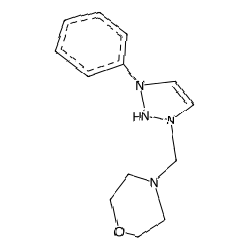 C1=CN(c2ccccc2)NN1CN1CCOCC1